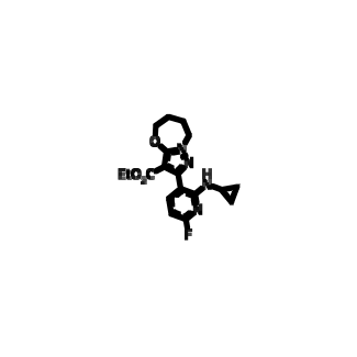 CCOC(=O)c1c(-c2ccc(F)nc2NC2CC2)nn2c1OCCCC2